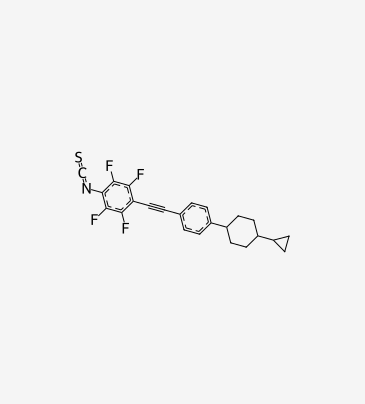 Fc1c(F)c(N=C=S)c(F)c(F)c1C#Cc1ccc(C2CCC(C3CC3)CC2)cc1